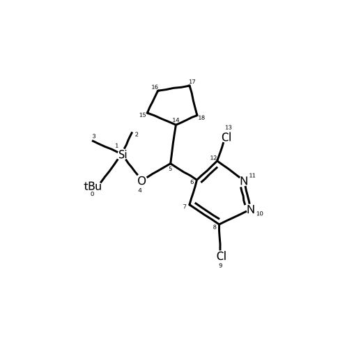 CC(C)(C)[Si](C)(C)OC(c1cc(Cl)nnc1Cl)C1CCCC1